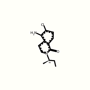 CC[C@@H](C)n1ccc2c(N)c(Cl)ccc2c1=O